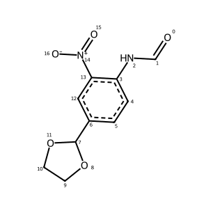 O=CNc1ccc(C2OCCO2)cc1[N+](=O)[O-]